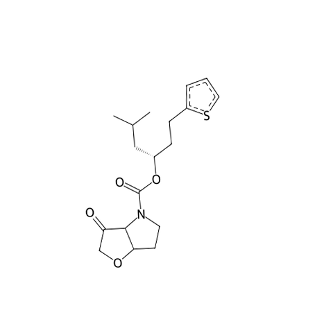 CC(C)C[C@H](CCc1cccs1)OC(=O)N1CCC2OCC(=O)C21